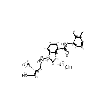 Cc1cccc(NC(=O)c2cccc3c2CCN3NC[C@@H](N)CS)c1C.Cl.Cl